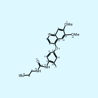 COc1cc2nccc(Oc3ccc(NC(=O)NCCC(C)(C)C)c(C)c3)c2cc1OC